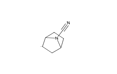 N#CN1C2[CH]CC1CC2